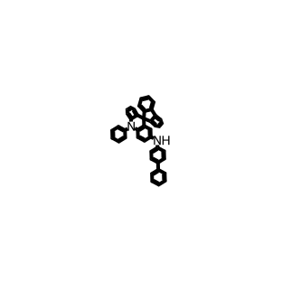 c1ccc(-c2ccc(Nc3ccc4c(c3)C3(c5ccccc5-c5ccccc53)c3ccccc3N4c3ccccc3)cc2)cc1